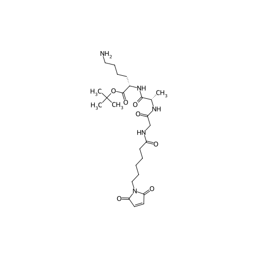 C[C@H](NC(=O)CNC(=O)CCCCCN1C(=O)C=CC1=O)C(=O)N[C@@H](CCCCN)C(=O)OC(C)(C)C